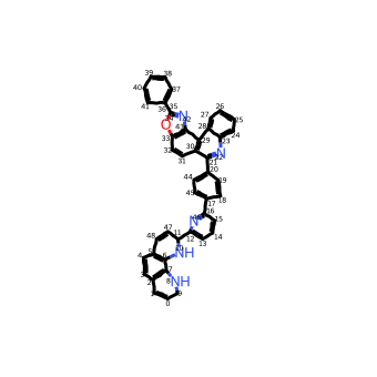 C1=Cc2ccc3c(c2NC1)NC(c1cccc(-c2ccc(-c4nc5ccccc5c5c4ccc4oc(-c6ccccc6)nc45)cc2)n1)C=C3